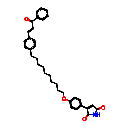 O=C1C=C(c2ccc(OCCCCCCCCCCc3ccc(C=CC(=O)c4ccccc4)cc3)cc2)C(=O)N1